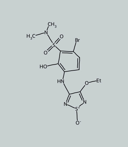 CCOc1n[s+]([O-])nc1Nc1ccc(Br)c(S(=O)(=O)N(C)C)c1O